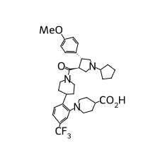 COc1ccc([C@@H]2CN(C3CCCC3)C[C@H]2C(=O)N2CCC(c3ccc(C(F)(F)F)cc3N3CCC(C(=O)O)CC3)CC2)cc1